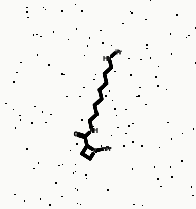 CCCN1CCC1C(=O)NCCCCCCCCNC(C)C